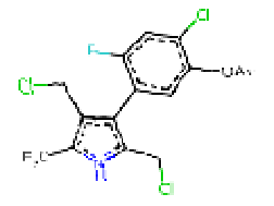 CC(=O)Oc1cc(-c2c(CCl)[nH]c(C(F)(F)F)c2CCl)c(F)cc1Cl